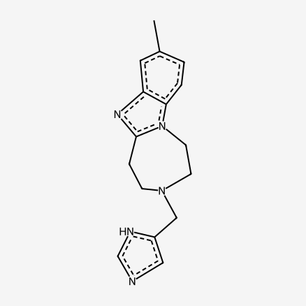 Cc1ccc2c(c1)nc1n2CCN(Cc2cnc[nH]2)CC1